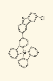 Clc1ccc2sc3ccc(-c4ccc5c(c4)-c4ccccc4[Si]54c5ccccc5-c5ccccc54)cc3c2c1